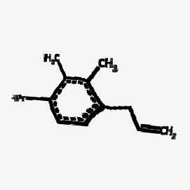 C=CCc1ccc([C](C)C)c(C)c1C